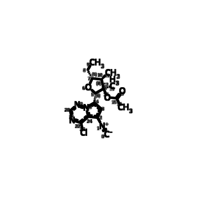 [C-]#[N+]c1cc([C@@H]2O[C@H](CC)[C@@H](C)[C@@]2(C)OC(C)=O)n2ncnc(Cl)c12